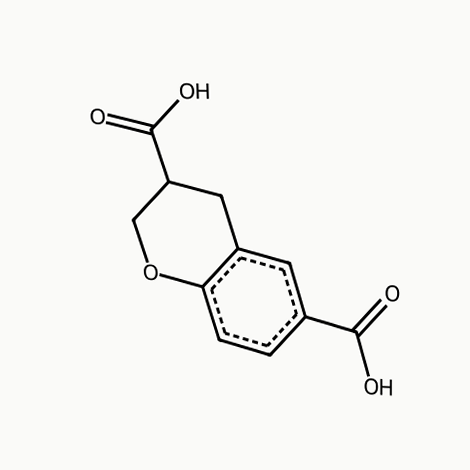 O=C(O)c1ccc2c(c1)CC(C(=O)O)CO2